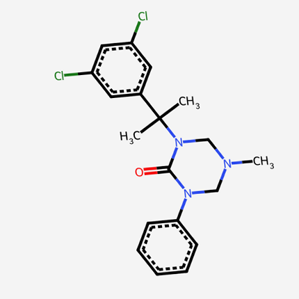 CN1CN(c2ccccc2)C(=O)N(C(C)(C)c2cc(Cl)cc(Cl)c2)C1